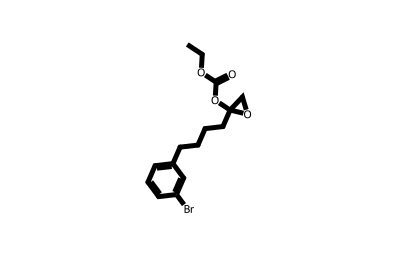 CCOC(=O)OC1(CCCCc2cccc(Br)c2)CO1